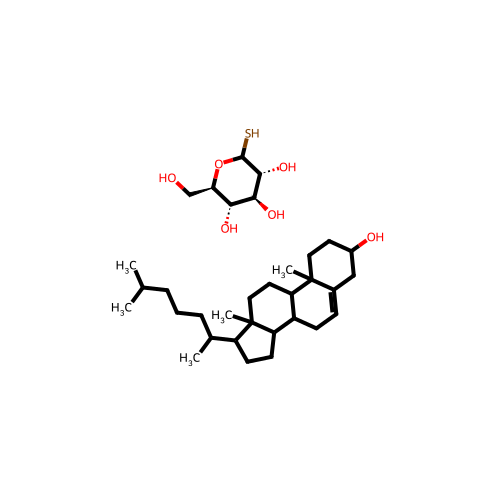 CC(C)CCCC(C)C1CCC2C3CC=C4CC(O)CCC4(C)C3CCC12C.OC[C@H]1OC(S)[C@H](O)[C@@H](O)[C@@H]1O